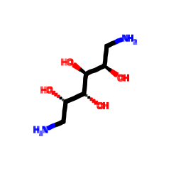 NC[C@@H](O)[C@H](O)[C@H](O)[C@@H](O)CN